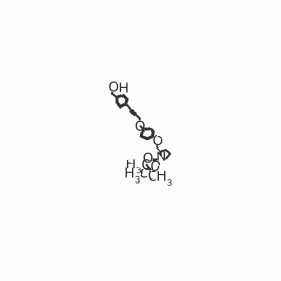 CC(C)(C)OC(=O)N1CCC[C@@H]1COc1ccc(OCC#Cc2ccc(CO)cc2)cc1